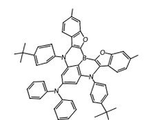 Cc1ccc2c3c(oc2c1)B1c2oc4cc(C)ccc4c2N(c2ccc(C(C)(C)C)cc2)c2cc(N(c4ccccc4)c4ccccc4)cc(c21)N3c1ccc(C(C)(C)C)cc1